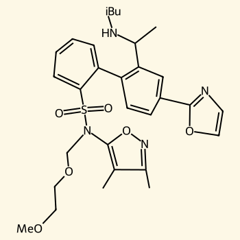 CCC(C)NC(C)c1cc(-c2ncco2)ccc1-c1ccccc1S(=O)(=O)N(COCCOC)c1onc(C)c1C